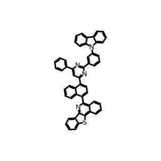 c1ccc(-c2cc(-c3ccc(-c4nc5c6ccccc6sc5c5ccccc45)c4ccccc34)nc(-c3cccc(-n4c5ccccc5c5ccccc54)c3)n2)cc1